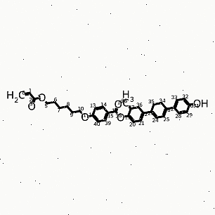 C=CC(=O)OCCCCCCOc1ccc(C(=O)OC2=CC=C(C3=CC=C(c4ccc(O)cc4)CC3)CC2C)cc1